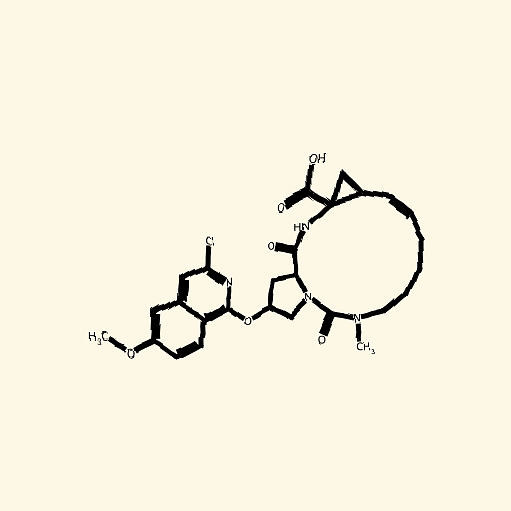 COc1ccc2c(OC3CC4C(=O)NC5(C(=O)O)CC5/C=C\CCCCN(C)C(=O)N4C3)nc(Cl)cc2c1